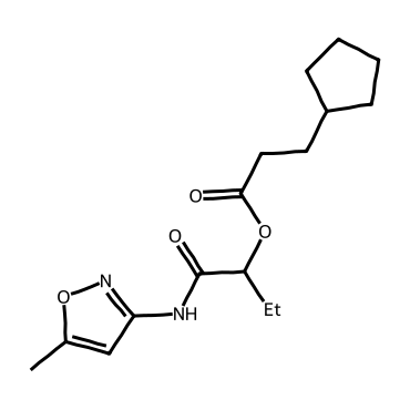 CCC(OC(=O)CCC1CCCC1)C(=O)Nc1cc(C)on1